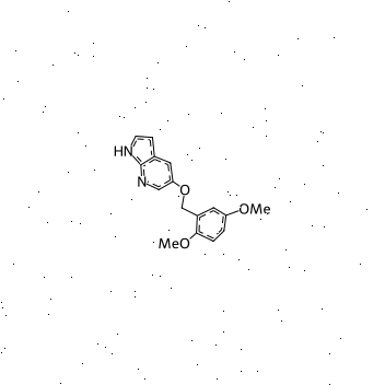 COc1ccc(OC)c(COc2cnc3[nH]ccc3c2)c1